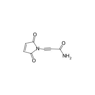 NC(=O)C#CN1C(=O)C=CC1=O